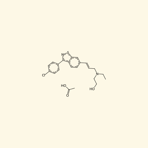 CC(=O)O.CCN(CC=Cc1ccc2c(-c3ccc(Cl)cc3)nsc2c1)CCO